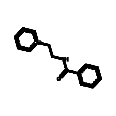 O=C(NCC[n+]1ccccc1)c1ccccc1